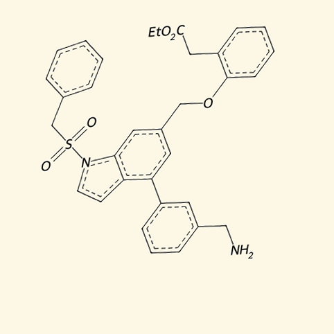 CCOC(=O)Cc1ccccc1OCc1cc(-c2cccc(CN)c2)c2ccn(S(=O)(=O)Cc3ccccc3)c2c1